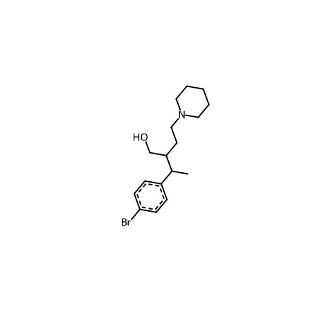 CC(c1ccc(Br)cc1)C(CO)CCN1CCCCC1